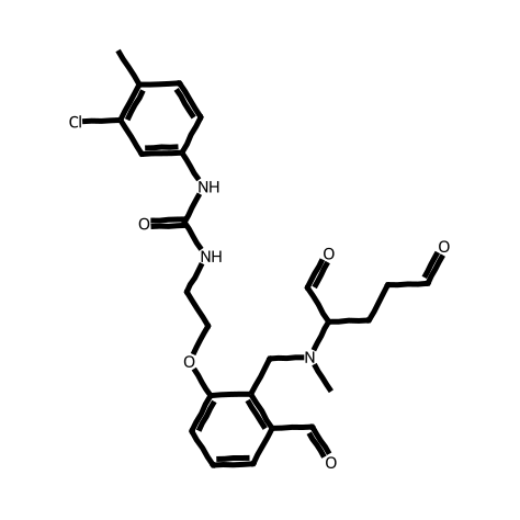 Cc1ccc(NC(=O)NCCOc2cccc(C=O)c2CN(C)C(C=O)CCC=O)cc1Cl